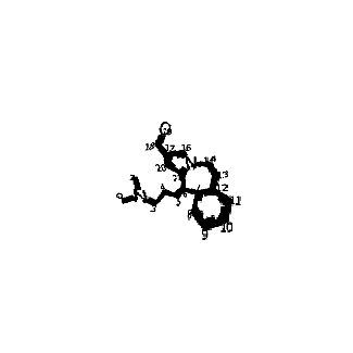 CN(C)CCC=C1c2ccccc2CCn2cc(C=O)cc21